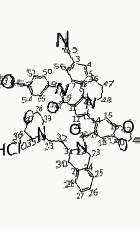 Cl.N#Cc1cccc(N(C(=O)c2cc(-c3cc4c(cc3C(=O)N3Cc5ccccc5C[C@H]3CCN3CCOCC3)OCO4)n3c2CCCC3)c2ccc(O)cc2)c1